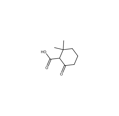 CC1(C)CCCC(=O)C1C(=O)O